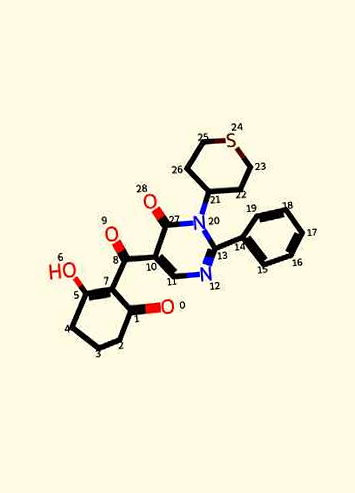 O=C1CCCC(O)=C1C(=O)c1cnc(-c2ccccc2)n(C2CCSCC2)c1=O